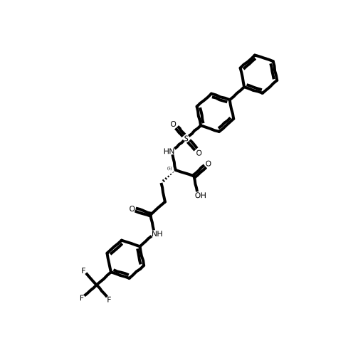 O=C(CC[C@H](NS(=O)(=O)c1ccc(-c2ccccc2)cc1)C(=O)O)Nc1ccc(C(F)(F)F)cc1